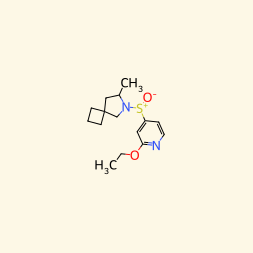 CCOc1cc([S+]([O-])N2CC3(CCC3)CC2C)ccn1